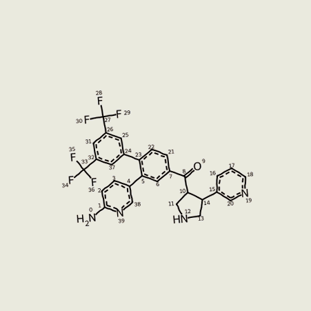 Nc1ccc(-c2cc(C(=O)C3CNCC3c3cccnc3)ccc2-c2cc(C(F)(F)F)cc(C(F)(F)F)c2)cn1